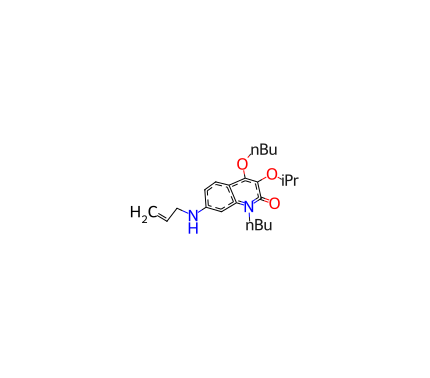 C=CCNc1ccc2c(OCCCC)c(OC(C)C)c(=O)n(CCCC)c2c1